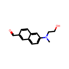 CN(CCO)c1ccc2cc(C=O)ccc2c1